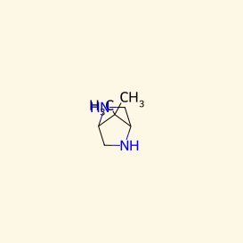 CC1(C)C2CNC1CN2